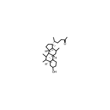 CC(=O)CCC(C)[C@H]1CC[C@H]2C3C(C)C(C)[C@@H]4CC(O)CC[C@]4(C)[C@H]3CC(C)[C@]12C